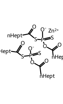 CCCCCCCC(=O)OP([O-])(=S)SC(=O)CCCCCCC.CCCCCCCC(=O)OP([O-])(=S)SC(=O)CCCCCCC.[Zn+2]